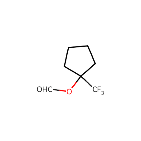 O=COC1(C(F)(F)F)CCCC1